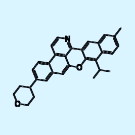 Cc1ccc2c(C(C)C)c3c(cc2c1)-c1nccc2c1c(cc1cc(C4CCOCC4)ccc12)O3